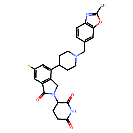 Cc1nc2ccc(CN3CCC(c4cc(F)cc5c4CN(C4CCC(=O)NC4=O)C5=O)CC3)cc2o1